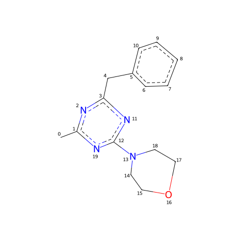 Cc1nc(Cc2ccccc2)nc(N2CCOCC2)n1